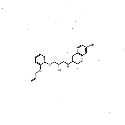 C=CCOc1ccccc1OCC(O)CNC1CCc2cc(O)ccc2C1